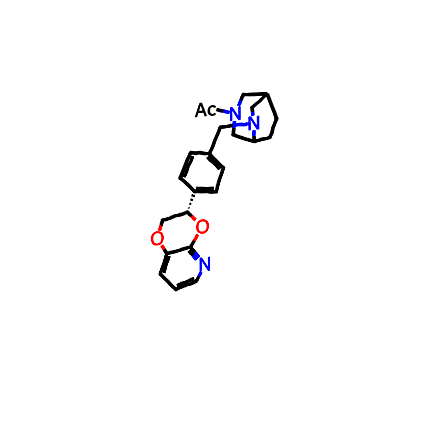 CC(=O)N1CC2CCC(C1)N(Cc1ccc([C@H]3COc4cccnc4O3)cc1)C2